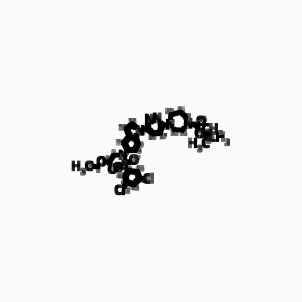 CCOC(=O)CN(c1ccc2c(ccn2-c2ccc(N3CCCN(C(=O)OC(C)(C)C)CC3)nn2)c1)S(=O)(=O)c1cc(Cl)cc(Cl)c1